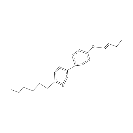 CC/C=C/Oc1ccc(-c2ccc(CCCCCC)nc2)cc1